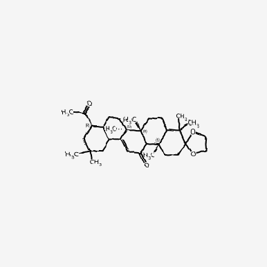 CC(=O)[C@@H]1CC(C)(C)CC2C3=CC(=O)C4[C@@]5(C)CCC6(OCCO6)C(C)(C)C5CC[C@@]4(C)[C@]3(C)CCC21